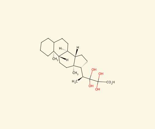 C[C@@H]([C@H]1CC[C@H]2[C@@H]3CCC4CCCC[C@]4(C)[C@H]3CC[C@]12C)C(O)(O)C(O)(O)C(=O)O